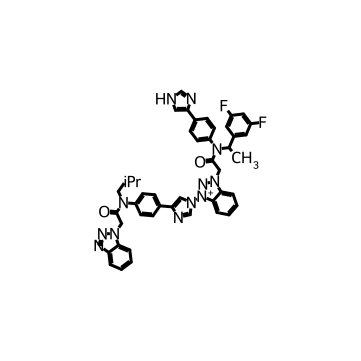 CC(C)CN(C(=O)Cn1nnc2ccccc21)c1ccc(-c2cn(-[n+]3nn(CC(=O)N(c4ccc(-c5c[nH]cn5)cc4)C(C)c4cc(F)cc(F)c4)c4ccccc43)cn2)cc1